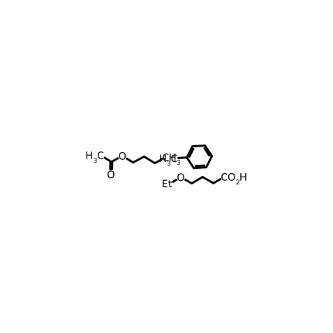 CCCCOC(C)=O.CCOCCCC(=O)O.Cc1ccccc1